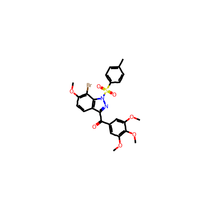 COc1cc(C(=O)c2nn(S(=O)(=O)c3ccc(C)cc3)c3c(Br)c(OC)ccc23)cc(OC)c1OC